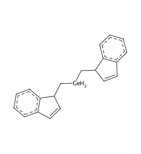 C1=CC([CH2][GeH2][CH2]C2C=Cc3ccccc32)c2ccccc21